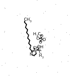 CCCCCCCCCCCCC1=NCC[N+]1(C)C(C)O.COS(=O)(=O)[O-]